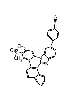 CP(C)(=O)c1ccc2c(c1)c1ccc3ccccc3c1c1nc3ccc(-c4ccc(C#N)cc4)cc3n21